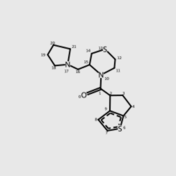 O=C(C1CCc2sccc21)N1CCSCC1CN1CCCC1